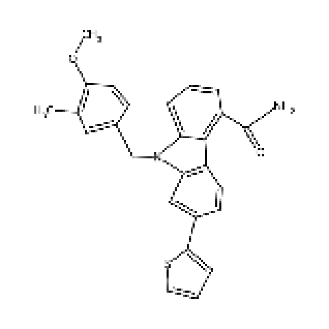 COc1ccc(Cn2c3cc(-c4cccs4)c[c]c3c3c(C(N)=O)cccc32)cc1C